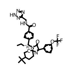 CCC[C@H](c1ccc(C(=O)NCc2nn[nH]n2)cc1)N1C(=O)C(c2cccc(OC(F)(F)F)c2)=NC12CCC(C(C)(C)C)CC2